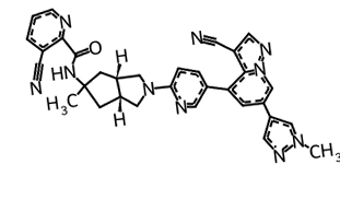 Cn1cc(-c2cc(-c3ccc(N4C[C@@H]5CC(C)(NC(=O)c6ncccc6C#N)C[C@@H]5C4)nc3)c3c(C#N)cnn3c2)cn1